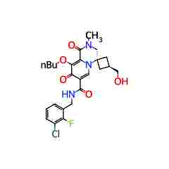 CCCCOc1c2n(cc(C(=O)NCc3cccc(Cl)c3F)c1=O)[C@]1(CN(C)C2=O)C[C@H](CO)C1